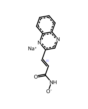 O=C(/C=C/c1cnc2ccccc2n1)N[O-].[Na+]